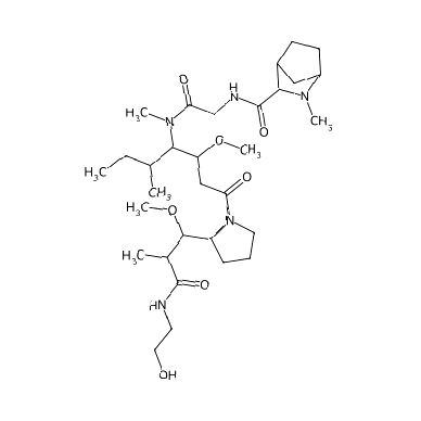 CCC(C)C(C(CC(=O)N1CCCC1C(OC)C(C)C(=O)NCCO)OC)N(C)C(=O)CNC(=O)C1C2CCC(C2)N1C